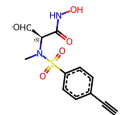 C#Cc1ccc(S(=O)(=O)N(C)[C@@H]([C]=O)C(=O)NO)cc1